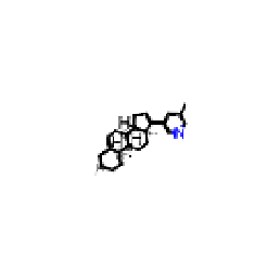 Cc1cncc(C2=CC[C@H]3[C@@H]4CC=C5C[C@@H](C)CC[C@]5(C)[C@H]4CC[C@]23C)c1